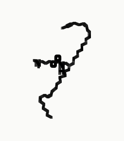 CC#CCC/C=C\C/C=C\CCCCCCCCC(CCCCCCCC/C=C\C/C=C\CCCCC)CNC(=O)OCCCN(C)C